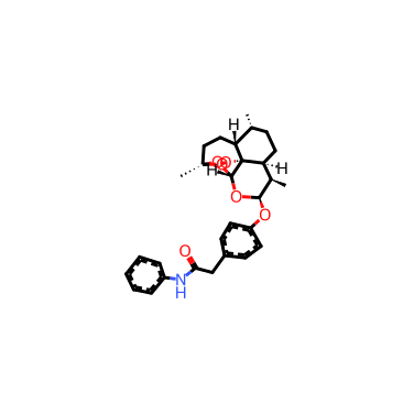 C[C@H]1[C@@H](Oc2ccc(CC(=O)Nc3ccccc3)cc2)O[C@@H]2O[C@]3(C)CC[C@@H]4[C@H](C)CC[C@@H]1[C@@]24OO3